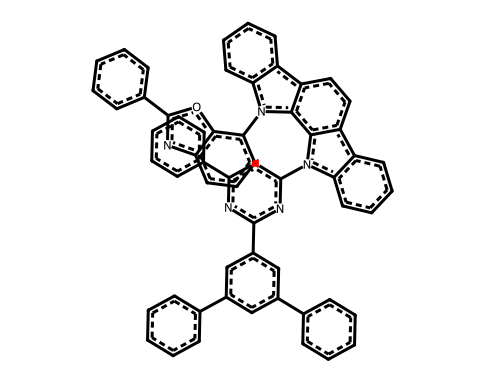 c1ccc(-c2cc(-c3ccccc3)cc(-c3nc(-c4ccccc4)nc(-n4c5ccccc5c5ccc6c7ccccc7n(-c7cccc8nc(-c9ccccc9)oc78)c6c54)n3)c2)cc1